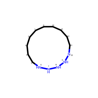 C1CCCCCNNNN[N]CCCC1